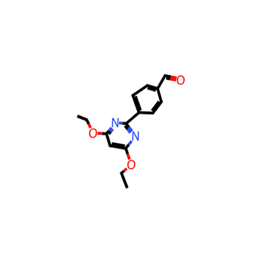 CCOc1cc(OCC)nc(-c2ccc(C=O)cc2)n1